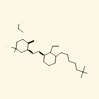 C=C1/C(=C\C=C2CCC[C@@]3(C)C2CC[C@@H]3[C@H](C)CCCC(C)(C)O)CC(O)(O)C[C@@H]1CCO